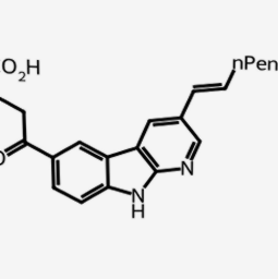 CCCCCC=Cc1cnc2[nH]c3ccc(C(=O)CCC(=O)O)cc3c2c1